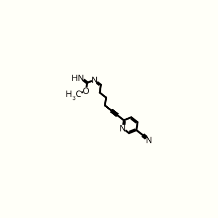 COC(=N)/N=C\CCCC#Cc1ccc(C#N)cn1